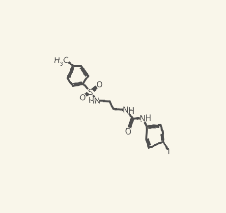 Cc1ccc(S(=O)(=O)NCCNC(=O)Nc2ccc(I)cc2)cc1